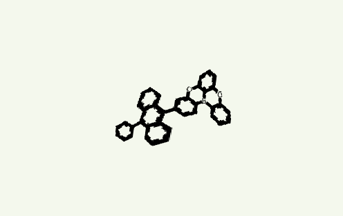 c1ccc(-c2c3ccccc3c(-c3ccc4c(c3)Oc3cccc5c3B4c3ccccc3O5)c3ccccc23)cc1